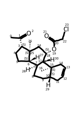 CC(=O)[C@H]1CC[C@H]2[C@@H]3CC[C@H]4CC=CC[C@]4(C)[C@H]3[C@@H](OC(=O)CCl)C[C@]12C